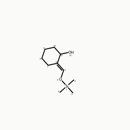 C[Si](C)(C)O/C=C1\CCCCC1O